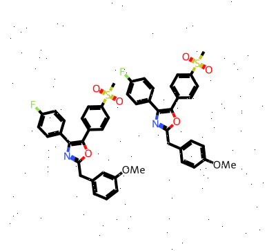 COc1ccc(Cc2nc(-c3ccc(F)cc3)c(-c3ccc(S(C)(=O)=O)cc3)o2)cc1.COc1cccc(Cc2nc(-c3ccc(F)cc3)c(-c3ccc(S(C)(=O)=O)cc3)o2)c1